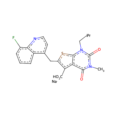 CC(C)Cn1c(=O)n(C)c(=O)c2c(C(=O)O)c(Cc3ccnc4c(F)cccc34)sc21.[Na]